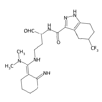 CN(C)/C(NCCC(C=O)NC(=O)c1n[nH]c2c1CC(C(F)(F)F)CC2)=C1\CCCCC1=N